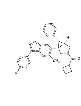 Cc1cc2c(cnn2-c2ccc(F)cc2)cc1[C@@]12CN(C(=O)C3CCC3)C[C@@H]1[C@H]2c1ccccc1